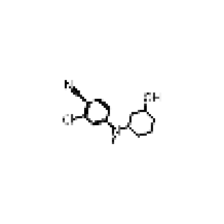 CN(c1ccc(C#N)c(Cl)c1)C1CCCC(O)C1